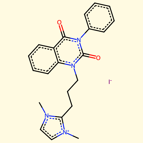 Cn1cc[n+](C)c1CCCn1c(=O)n(-c2ccccc2)c(=O)c2ccccc21.[I-]